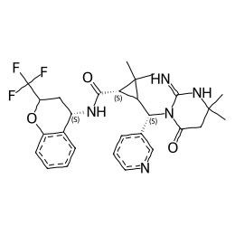 CC1(C)CC(=O)N([C@H](c2cccnc2)C2[C@H](C(=O)N[C@H]3CC(C(F)(F)F)Oc4ccccc43)C2(C)C)C(=N)N1